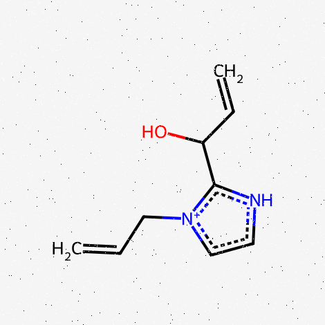 C=CC[n+]1cc[nH]c1C(O)C=C